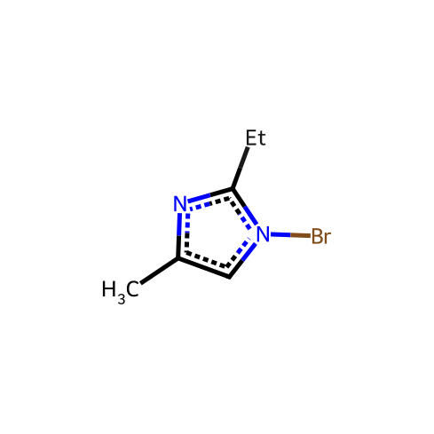 CCc1nc(C)cn1Br